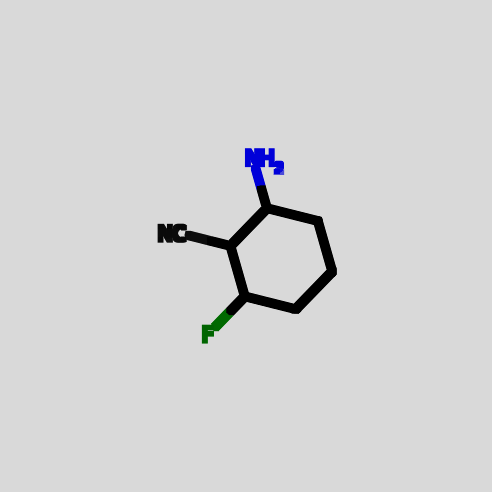 N#CC1C(N)CCCC1F